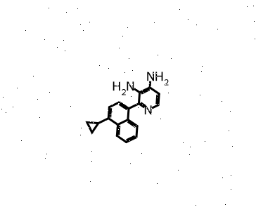 Nc1ccnc(-c2ccc(C3CC3)c3ccccc23)c1N